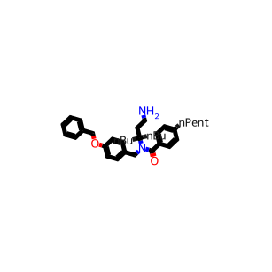 CCCCCc1ccc(C(=O)N(Cc2ccc(OCc3ccccc3)cc2)C(CCN)(CCCC)CCCC)cc1